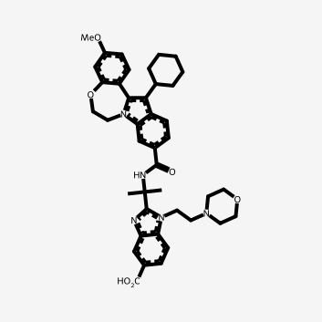 COc1ccc2c(c1)OCCn1c-2c(C2CCCCC2)c2ccc(C(=O)NC(C)(C)c3nc4cc(C(=O)O)ccc4n3CCN3CCOCC3)cc21